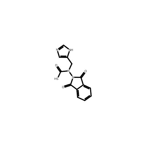 O=C(S)N(Cc1cnc[nH]1)N1C(=O)c2ccccc2C1=O